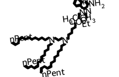 CCCCC/C=C\C/C=C\CCCCCCCCN(CCCCCCCC/C=C\C/C=C\CCCCC)CCCN(CCCCCCCC/C=C\C/C=C\CCCCC)CCCCCC(=O)OC(C)(C)Cn1c(COCC)nc2c(N)nc3ccccc3c21